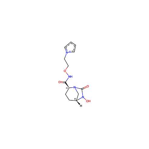 O=C(NOCCn1cccc1)[C@@H]1CC[C@@H]2CN1C(=O)N2O